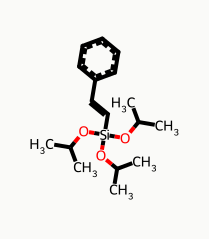 CC(C)O[Si](C=Cc1ccccc1)(OC(C)C)OC(C)C